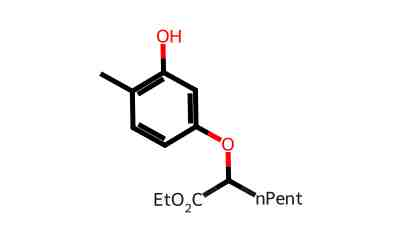 CCCCCC(Oc1ccc(C)c(O)c1)C(=O)OCC